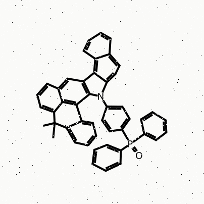 CC1(C)c2ccccc2-c2c3c1cccc3cc1c3c4ccccc4ccc3n(-c3ccc(P(=O)(c4ccccc4)c4ccccc4)cc3)c21